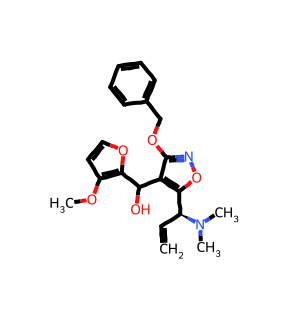 C=C[C@@H](c1onc(OCc2ccccc2)c1C(O)c1occc1OC)N(C)C